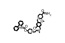 COc1cc(CN(C)CCN2CCC(OC(=O)Nc3ccccc3-c3ccccc3)CC2)c(Cl)cc1CN1CCC(C(N)=O)CC1